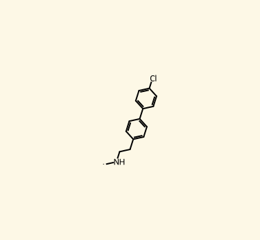 [CH2]NCCc1ccc(-c2ccc(Cl)cc2)cc1